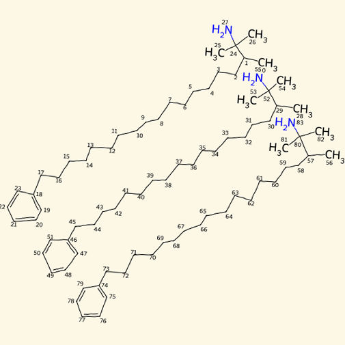 CC(CCCCCCCCCCCCCCCCc1ccccc1)C(C)(C)N.CC(CCCCCCCCCCCCCCCCc1ccccc1)C(C)(C)N.CC(CCCCCCCCCCCCCCCCc1ccccc1)C(C)(C)N